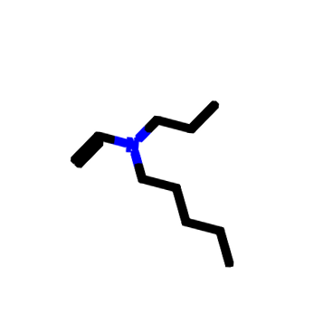 C=CN(CCC)CCCCC